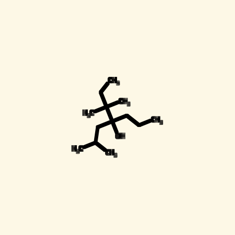 CCCC(O)(CC(C)C)C(C)(C)CC